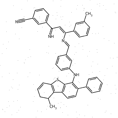 Cc1cccc(C(=C/C(=N)c2cccc(C#N)c2)/N=C/c2cccc(Nc3c(-c4ccccc4)ccc4c5c(sc34)C=CCC5C)c2)c1